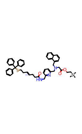 C[Si](C)(C)CCOC(=O)CN(Cc1cccc(CNC(=O)C[CH]/C=C/CCSC(c2ccccc2)(c2ccccc2)c2ccccc2)n1)Cc1cccc2ccccc12